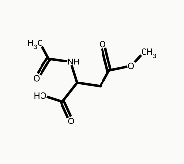 COC(=O)CC(NC(C)=O)C(=O)O